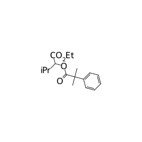 CCOC(=O)C(OC(=O)C(C)(C)c1ccccc1)C(C)C